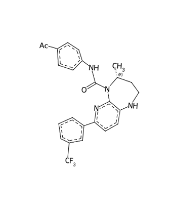 CC(=O)c1ccc(NC(=O)N2c3nc(-c4cccc(C(F)(F)F)c4)ccc3NCC[C@H]2C)cc1